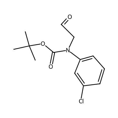 CC(C)(C)OC(=O)N(CC=O)c1cccc(Cl)c1